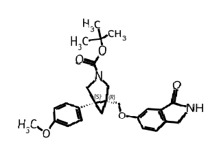 COc1ccc([C@]23CN(C(=O)OC(C)(C)C)C[C@@]2(COc2ccc4c(c2)C(=O)NC4)C3)cc1